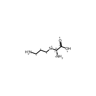 NCCC[Se][C@H](N)C(=O)O